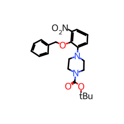 CC(C)(C)OC(=O)N1CCN(c2cccc([N+](=O)[O-])c2OCc2ccccc2)CC1